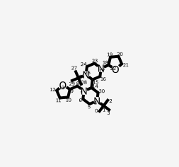 CC(C)(C)N1CCN(CC2CCCO2)C(C2CN(C3CCCO3)CCN2C(C)(C)C)C1